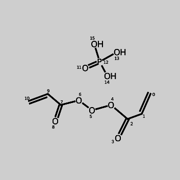 C=CC(=O)OOOC(=O)C=C.O=P(O)(O)O